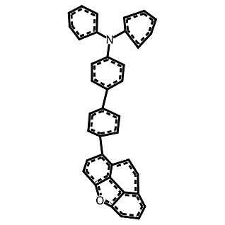 c1ccc(N(c2ccccc2)c2ccc(-c3ccc(-c4ccc5oc6cccc7ccc4c5c76)cc3)cc2)cc1